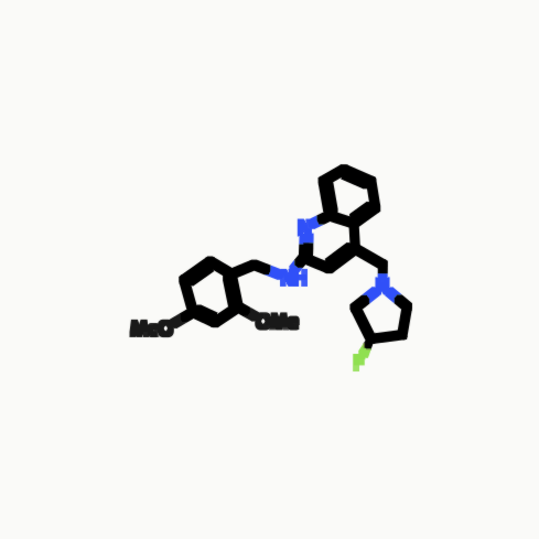 COc1ccc(CNc2cc(CN3CC[C@@H](F)C3)c3ccccc3n2)c(OC)c1